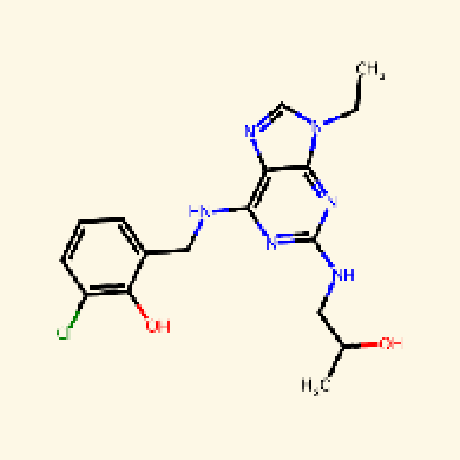 CCn1cnc2c(NCc3cccc(Cl)c3O)nc(NCC(C)O)nc21